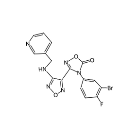 O=c1onc(-c2nonc2NCc2cccnc2)n1-c1ccc(F)c(Br)c1